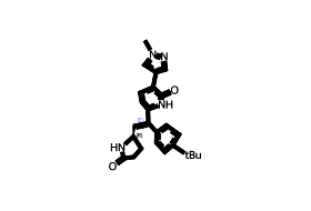 Cn1cc(-c2ccc(/C(=C/[C@H]3CCC(=O)N3)c3ccc(C(C)(C)C)cc3)[nH]c2=O)cn1